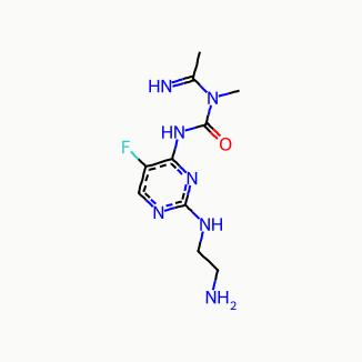 CC(=N)N(C)C(=O)Nc1nc(NCCN)ncc1F